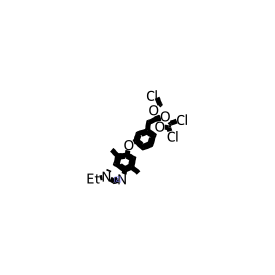 CCN(C)/C=N\c1cc(C)c(Oc2cccc(CC(OCCl)(OCCl)OCCl)c2)cc1C